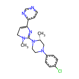 C[C@@H]1CN(c2ccc(Cl)cc2)CCN1C1=NC(c2ccncn2)=CCN1C